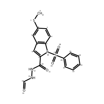 CSc1ccc2c(c1)cc(C(=O)NNC=O)n2S(=O)(=O)c1ccccc1